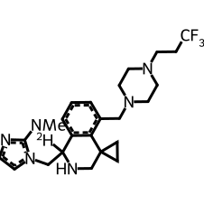 [2H]C1(Cn2ccnc2NC)NCC2(CC2)c2c(CN3CCN(CCC(F)(F)F)CC3)cccc21